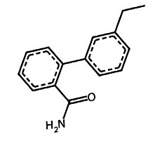 CCc1cccc(-c2ccccc2C(N)=O)c1